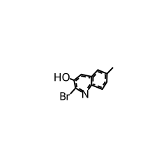 Cc1ccc2nc(Br)c(O)cc2c1